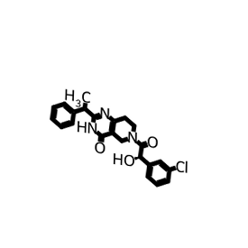 CC(c1ccccc1)c1nc2c(c(=O)[nH]1)CN(C(=O)[C@H](O)c1cccc(Cl)c1)CC2